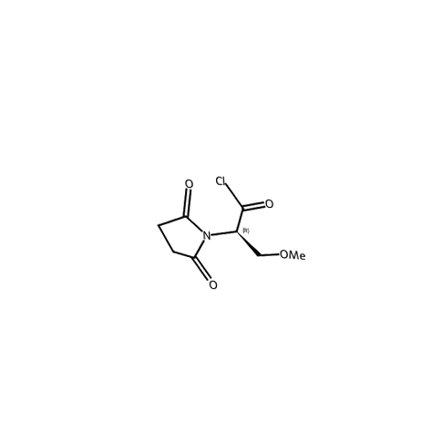 COC[C@H](C(=O)Cl)N1C(=O)CCC1=O